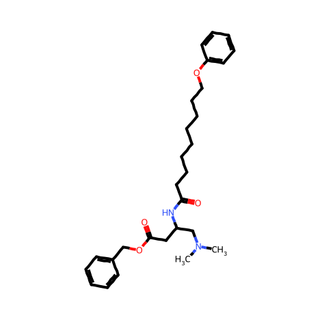 CN(C)CC(CC(=O)OCc1ccccc1)NC(=O)CCCCCCCCOc1ccccc1